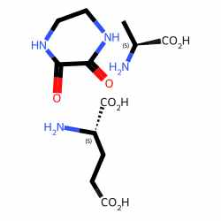 C[C@H](N)C(=O)O.N[C@@H](CCC(=O)O)C(=O)O.O=C1NCCNC1=O